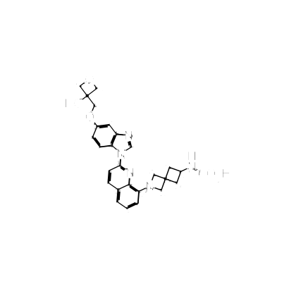 CC1(COc2ccc3c(c2)ncn3-c2ccc3cccc(N4CC5(CC(NC(=O)O)C5)C4)c3n2)COC1